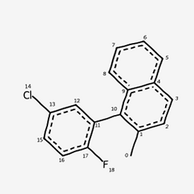 Cc1ccc2ccccc2c1-c1cc(Cl)ccc1F